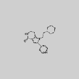 O=C1NCCc2c1cc(-c1ccncc1)n2CCC1CCCCC1